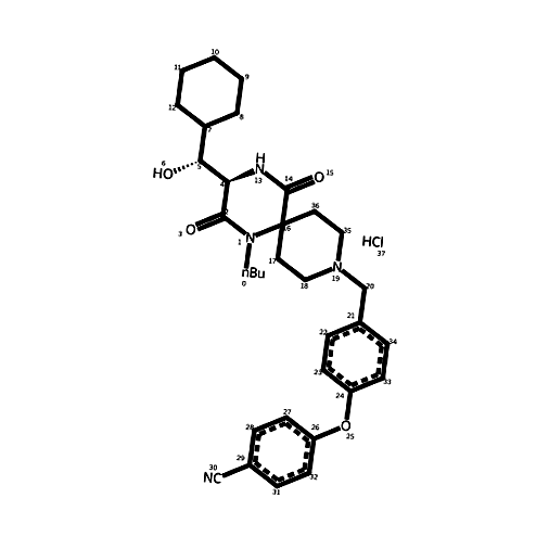 CCCCN1C(=O)[C@@H]([C@H](O)C2CCCCC2)NC(=O)C12CCN(Cc1ccc(Oc3ccc(C#N)cc3)cc1)CC2.Cl